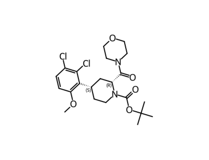 COc1ccc(Cl)c(Cl)c1[C@H]1CCN(C(=O)OC(C)(C)C)[C@@H](C(=O)N2CCOCC2)C1